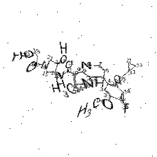 COc1cc(-c2ccnc3c(C(=O)N[C@@H]4CN(C(=O)CO)C[C@H]4O)c(C)[nH]c23)c(OCC2CC2)cc1F